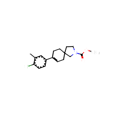 Cc1cc(C2=CCC3(CC2)CCN(C(=O)OC(C)(C)C)C3)ccc1Cl